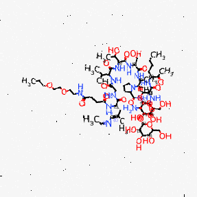 C/C=N\C=C(/C)C[C@H](NC(=O)CCC(=O)NCCOCCOCCC)C(=O)NCC(=O)NC(C(=O)N[C@H](C(=O)N[C@@H](CO)C(=O)N[C@@H](C)C(=O)N1CCCC1C(=O)N[C@@H](CC(=O)O)C(=O)N[C@H](C(=O)N[C@@H](CCCC)C(C)=O)C(C)O[C@H]1OC(CO)[C@H](O)[C@H](O[C@@H]2OC(CO)[C@H](O)C(O)[C@@H]2O)C1N)C(C)O)C(C)C